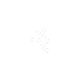 c1ccc(-c2ccc([Si](c3ccccc3)(c3ccc4sc5ccccc5c4c3)c3ccc4c5ccccc5c5ccccc5c4c3)cc2)cc1